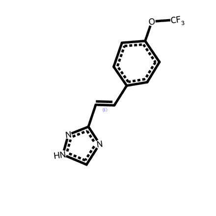 FC(F)(F)Oc1ccc(/C=C/c2nc[nH]n2)cc1